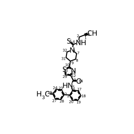 C#CCNC(=S)N1CCC(c2nc(C(=O)Nc3ccccc3-c3ccc(C)cc3)cs2)CC1